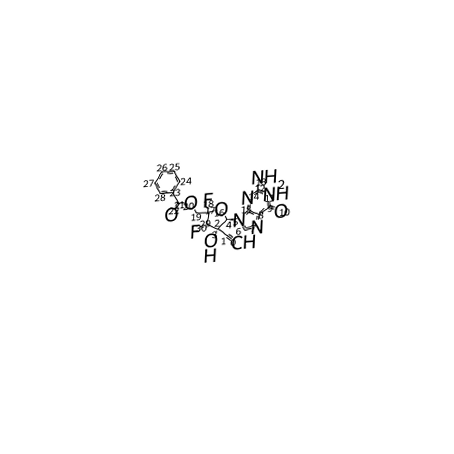 C#C[C@]1(O)[C@H](n2cnc3c(=O)[nH]c(N)nc32)O[C@](F)(COC(=O)c2ccccc2)[C@H]1F